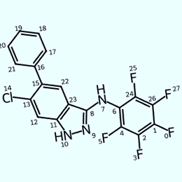 Fc1c(F)c(F)c(Nc2n[nH]c3cc(Cl)c(-c4ccccc4)cc23)c(F)c1F